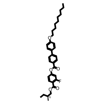 CCCCCCCCCCOc1ccc(-c2ccc(C(=O)Oc3ccc(C(=O)OC[C@@H](C)CC)c(F)c3)cc2)cc1